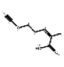 CC(=CCCOC#N)C(=O)O